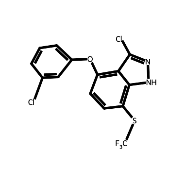 FC(F)(F)Sc1ccc(Oc2cccc(Cl)c2)c2c(Cl)n[nH]c12